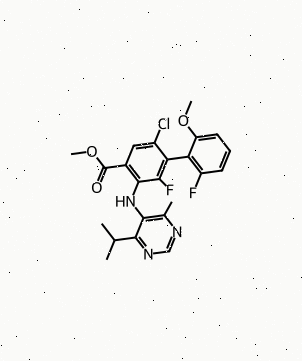 COC(=O)c1cc(Cl)c(-c2c(F)cccc2OC)c(F)c1Nc1c(C)ncnc1C(C)C